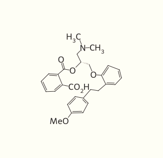 COc1ccc(CCc2ccccc2OC[C@@H](CN(C)C)OC(=O)c2ccccc2C(=O)O)cc1